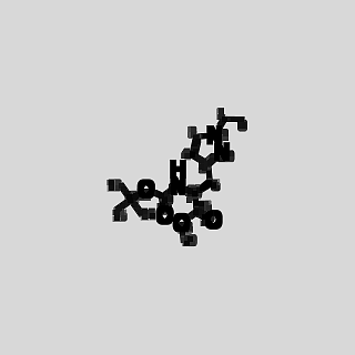 CCn1ccc(C[C@H](NC(=O)OC(C)(C)C)C(=O)OC)n1